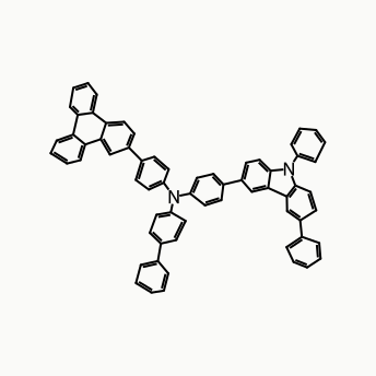 c1ccc(-c2ccc(N(c3ccc(-c4ccc5c6ccccc6c6ccccc6c5c4)cc3)c3ccc(-c4ccc5c(c4)c4cc(-c6ccccc6)ccc4n5-c4ccccc4)cc3)cc2)cc1